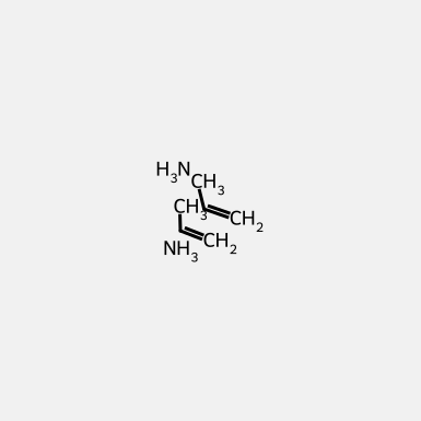 C=CC.C=CC.N.N